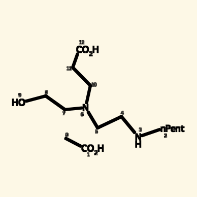 CC(=O)O.CCCCCNCCN(CCO)CCC(=O)O